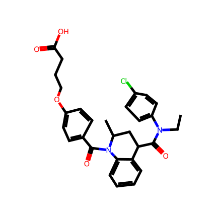 CCN(C(=O)C1CC(C)N(C(=O)c2ccc(OCCCC(=O)O)cc2)c2ccccc21)c1ccc(Cl)cc1